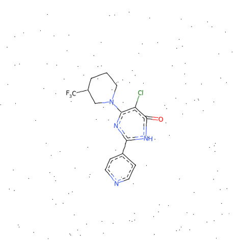 O=c1[nH]c(-c2ccncc2)nc(N2CCCC(C(F)(F)F)C2)c1Cl